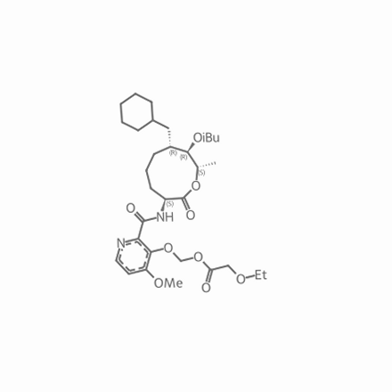 CCOCC(=O)OCOc1c(OC)ccnc1C(=O)N[C@H]1CCC[C@H](CC2CCCCC2)[C@@H](OCC(C)C)[C@H](C)OC1=O